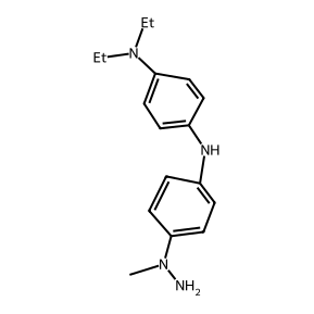 CCN(CC)c1ccc(Nc2ccc(N(C)N)cc2)cc1